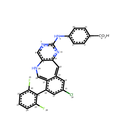 O=C(O)c1ccc(Nc2ncc3c(n2)C=c2cc(Cl)cc(-c4c(F)cccc4F)c2=CN3)cc1